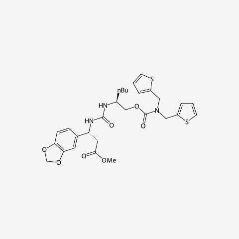 CCCC[C@@H](COC(=O)N(Cc1cccs1)Cc1cccs1)NC(=O)N[C@H](CC(=O)OC)c1ccc2c(c1)OCO2